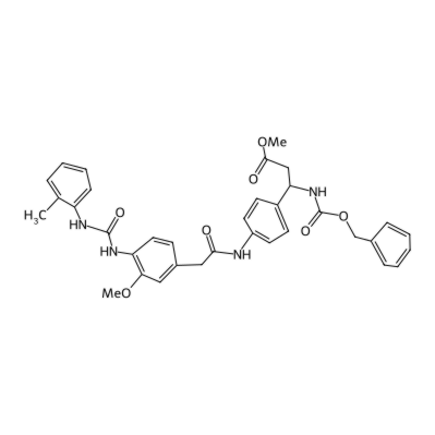 COC(=O)CC(NC(=O)OCc1ccccc1)c1ccc(NC(=O)Cc2ccc(NC(=O)Nc3ccccc3C)c(OC)c2)cc1